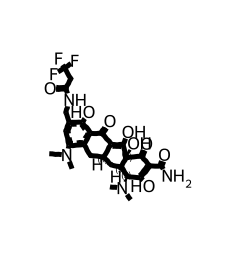 CN(C)c1cc(CNC(=O)CC(F)(F)F)c(O)c2c1C[C@H]1C[C@H]3[C@H](N(C)C)C(O)=C(C(N)=O)C(=O)[C@@]3(O)C(O)=C1C2=O